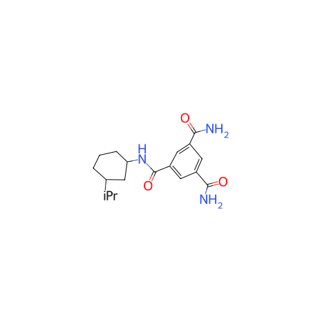 CC(C)C1CCCC(NC(=O)c2cc(C(N)=O)cc(C(N)=O)c2)C1